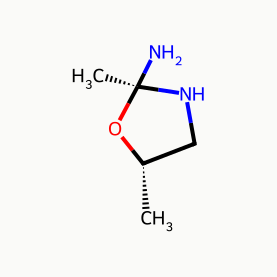 C[C@H]1CN[C@](C)(N)O1